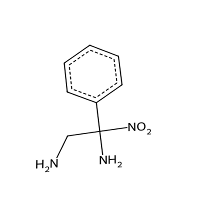 NCC(N)(c1ccccc1)[N+](=O)[O-]